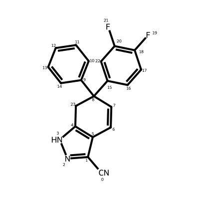 N#Cc1n[nH]c2c1C=CC(c1ccccc1)(c1ccc(F)c(F)c1)C2